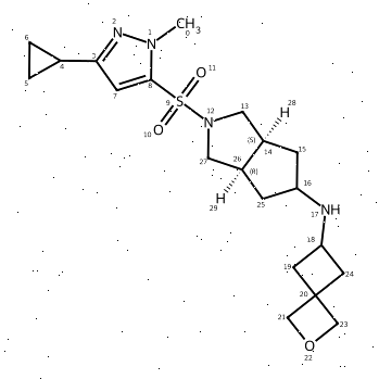 Cn1nc(C2CC2)cc1S(=O)(=O)N1C[C@H]2CC(NC3CC4(COC4)C3)C[C@H]2C1